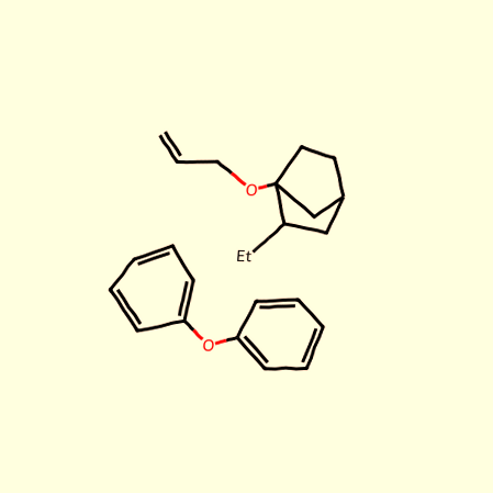 C=CCOC12CCC(CC1CC)C2.c1ccc(Oc2ccccc2)cc1